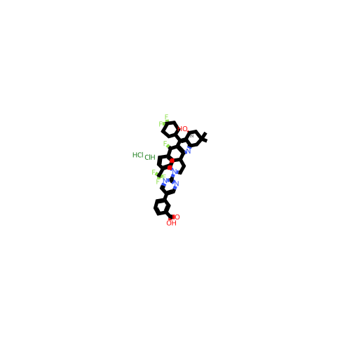 CC1(C)Cc2nc(C3CCN(c4ncc(-c5cccc(C(=O)O)c5)cn4)CC3)c(C(F)c3ccc(C(F)(F)F)cc3)c(C3CCC(F)(F)CC3)c2[C@@H](O)C1.Cl.Cl